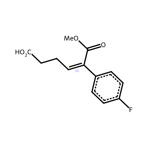 COC(=O)/C(=C\CCC(=O)O)c1ccc(F)cc1